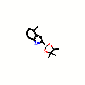 C=C1OB(c2cc3c(C)cccc3[nH]2)OC1(C)C